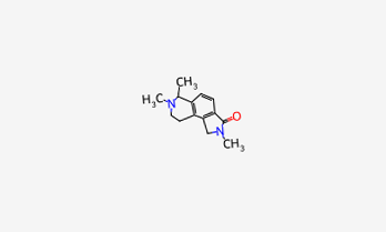 CC1c2ccc3c(c2CCN1C)CN(C)C3=O